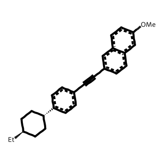 CC[C@H]1CC[C@H](c2ccc(C#Cc3ccc4cc(OC)ccc4c3)cc2)CC1